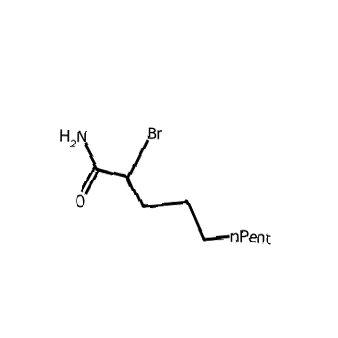 CCCCCCCCC(Br)C(N)=O